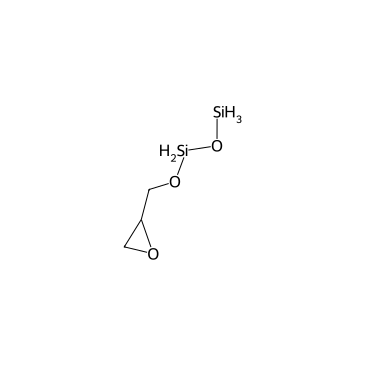 [SiH3]O[SiH2]OCC1CO1